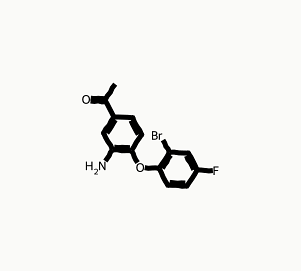 CC(=O)c1ccc(Oc2ccc(F)cc2Br)c(N)c1